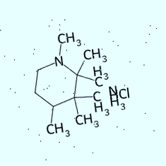 CC1CCN(C)C(C)(C)C1(C)C.Cl.N